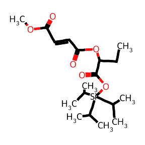 CCC(OC(=O)C=CC(=O)OC)C(=O)O[Si](C(C)C)(C(C)C)C(C)C